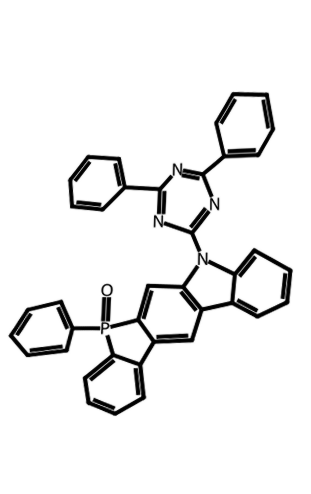 O=P1(c2ccccc2)c2ccccc2-c2cc3c4ccccc4n(-c4nc(-c5ccccc5)nc(-c5ccccc5)n4)c3cc21